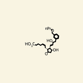 CCCOCc1cccc(CC(O)/C=C/[C@H]2[C@H](O)CC(=O)[C@@H]2C/C=C\CCCC(=O)O)c1